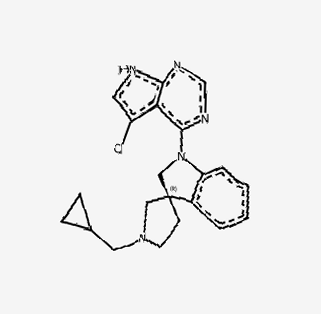 Clc1c[nH]c2ncnc(N3C[C@]4(CCN(CC5CC5)C4)c4ccccc43)c12